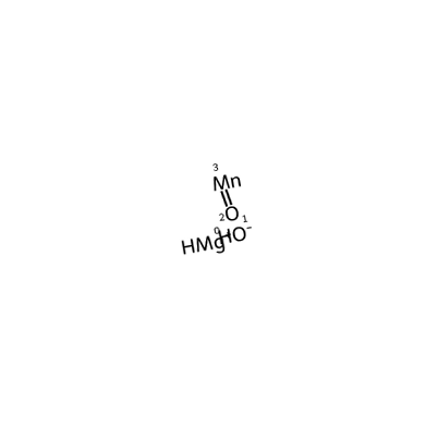 [MgH+].[OH-].[O]=[Mn]